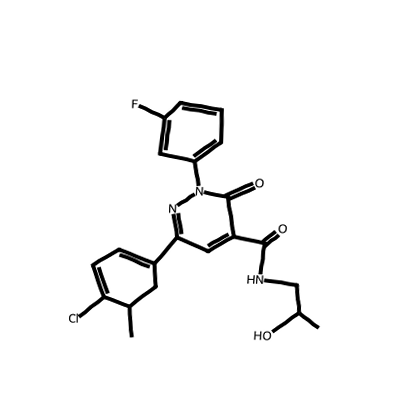 CC(O)CNC(=O)c1cc(C2=CC=C(Cl)C(C)C2)nn(-c2cccc(F)c2)c1=O